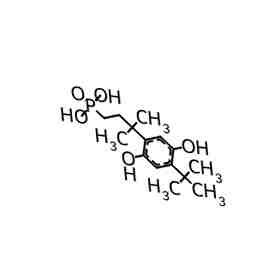 CC(C)(C)c1cc(O)c(C(C)(C)CCP(=O)(O)O)cc1O